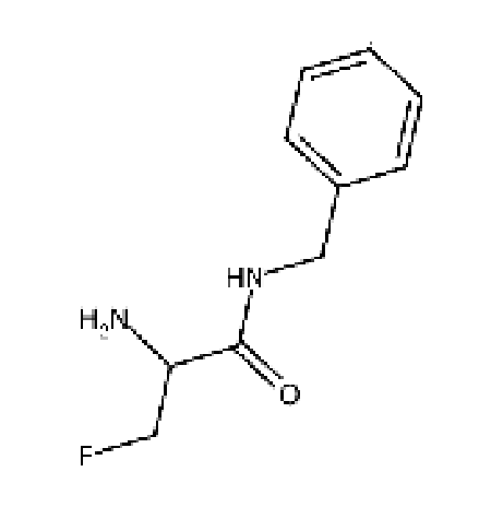 NC(CF)C(=O)NCc1cc[c]cc1